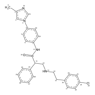 Cc1cn(-c2ccc(NC(=O)C(CNCCc3ccc(Cl)cc3)c3ccccc3)cc2)cn1